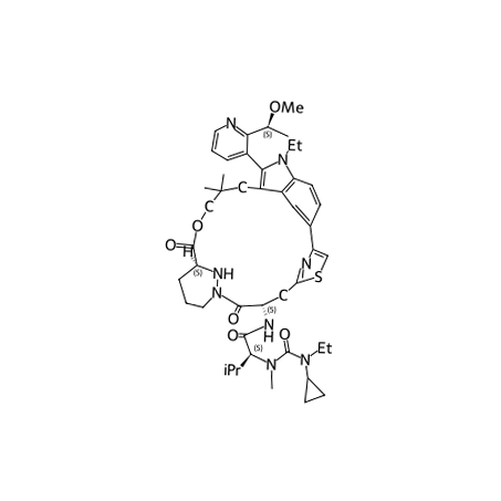 CCN(C(=O)N(C)[C@H](C(=O)N[C@H]1Cc2nc(cs2)-c2ccc3c(c2)c(c(-c2cccnc2[C@H](C)OC)n3CC)CC(C)(C)COC(=O)[C@@H]2CCCN(N2)C1=O)C(C)C)C1CC1